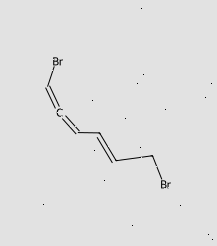 BrC=C=CC=CCBr